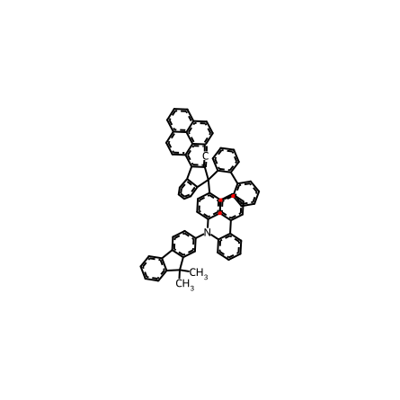 CC1(C)c2ccccc2-c2ccc(N(c3ccc4c(c3)-c3ccccc3-c3ccccc3C43c4ccccc4-c4c3cc3ccc5cccc6ccc4c3c56)c3ccccc3-c3ccccc3)cc21